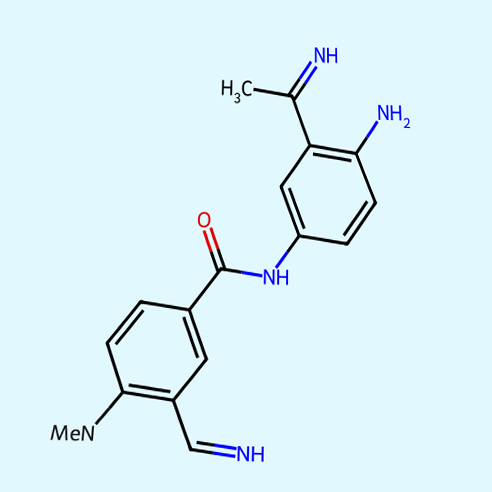 CNc1ccc(C(=O)Nc2ccc(N)c(C(C)=N)c2)cc1C=N